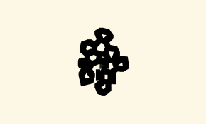 c1ccc(-c2nc3ccccc3nc2-n2c3cccc4c3c3c5c(cccc5c5oc6ccccc6c5c32)-c2ccccc2-4)cc1